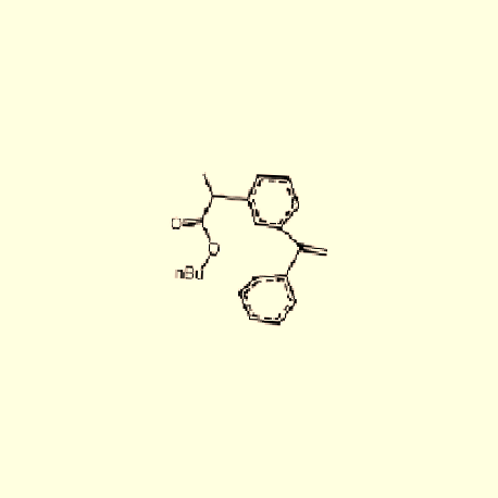 C=C(c1ccccc1)c1cccc(C(C)C(=O)OCCCC)c1